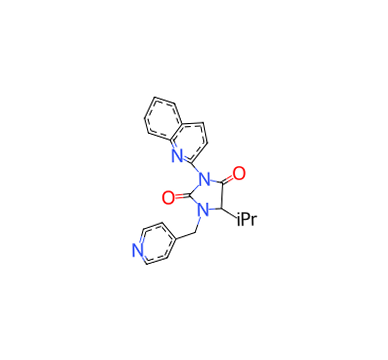 CC(C)C1C(=O)N(c2ccc3ccccc3n2)C(=O)N1Cc1ccncc1